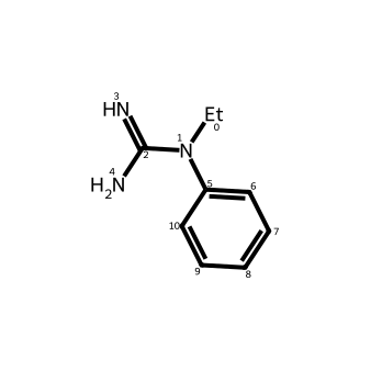 CCN(C(=N)N)c1ccccc1